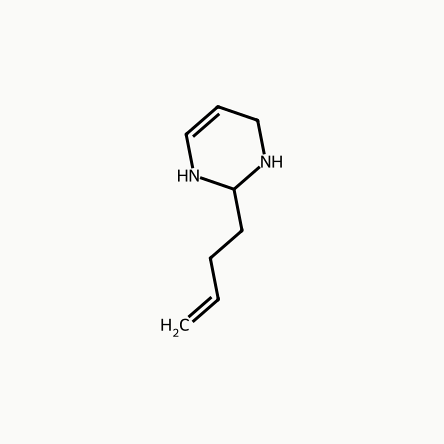 C=CCCC1NC=CCN1